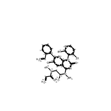 BN(c1nc(=O)n(-c2c(CC)ccnc2C(C)C)c2nc(-c3ccccc3C=C)c(Cl)cc12)[C@@H](C)CN(CCC)C(=O)C=C